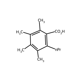 CCCc1c(C)c(C)c(C)c(C)c1C(=O)O